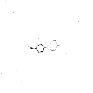 N#Cc1c(F)cc(N2CCC(O)CC2)cc1F